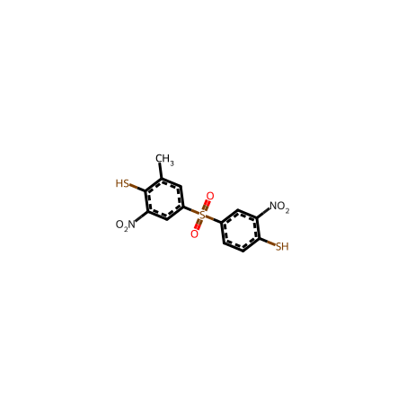 Cc1cc(S(=O)(=O)c2ccc(S)c([N+](=O)[O-])c2)cc([N+](=O)[O-])c1S